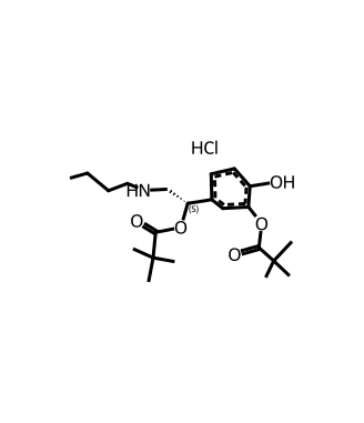 CCCCNC[C@@H](OC(=O)C(C)(C)C)c1ccc(O)c(OC(=O)C(C)(C)C)c1.Cl